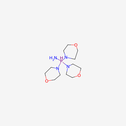 N[PH](N1CCOCC1)(N1CCOCC1)N1CCOCC1